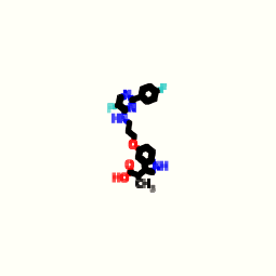 CC(C(=O)O)c1c[nH]c2ccc(OCCCNc3nc(-c4ccc(F)cc4)ncc3F)cc12